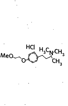 COCCOc1ccc(CCC(C)N(C)C)cc1.Cl